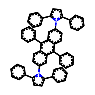 c1ccc(-c2c3ccc(-n4c(-c5ccccc5)ccc4-c4ccccc4)cc3c(-c3ccccc3)c3ccc(-n4c(-c5ccccc5)ccc4-c4ccccc4)cc23)cc1